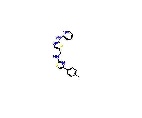 Cc1ccc(-c2csc(NCc3cnc(Nc4ccccn4)s3)n2)cc1